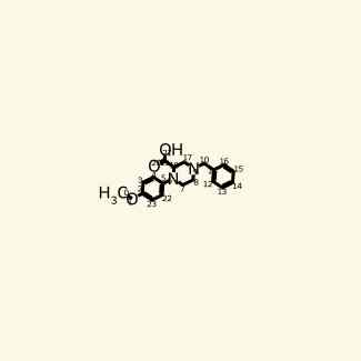 COc1ccc(N2CCN(Cc3ccccc3)CC2C(=O)O)cc1